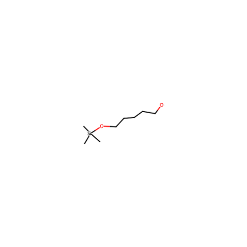 C[Si](C)(C)OCCCCC[O]